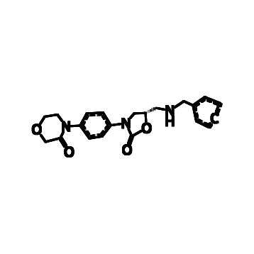 O=C1COCCN1c1ccc(N2C[C@H](CNCc3ccccc3)OC2=O)cc1